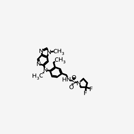 CCc1cc(CNS(=O)(=O)N2CCC(F)(F)C2)ccc1N(C)c1cc2c(cn1)ncn2C